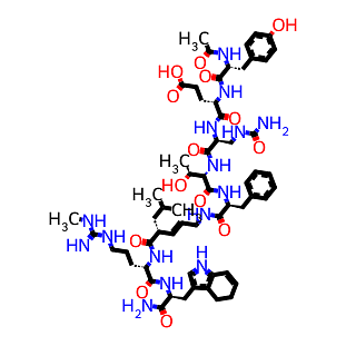 CNC(=N)NCCC[C@H](NC(=O)[C@@H](/C=C/CNC(=O)[C@H](Cc1ccccc1)NC(=O)[C@@H](NC(=O)[C@H](CNC(N)=O)NC(=O)[C@H](CCC(=O)O)NC(=O)[C@@H](Cc1ccc(O)cc1)NC(C)=O)[C@@H](C)O)CC(C)C)C(=O)N[C@@H](Cc1c[nH]c2c1CCC=C2)C(N)=O